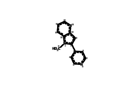 O=C(O)n1c(-c2ccncc2)cc2ncccc21